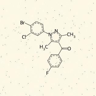 Cc1nn(-c2ccc(Br)c(Cl)c2)c(C)c1C(=O)c1ccc(F)cc1